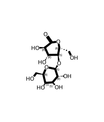 O=C1O[C@H](CO)[C@@H](O[C@@H]2O[C@H](CO)[C@@H](O)[C@H](O)[C@H]2O)[C@H](O)[C@H]1O